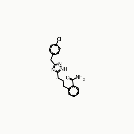 NC(=O)c1ccccc1CC[CH]c1nc(Cc2ccc(Cl)cc2)n[nH]1